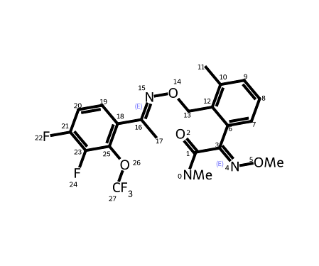 CNC(=O)/C(=N/OC)c1cccc(C)c1CO/N=C(\C)c1ccc(F)c(F)c1OC(F)(F)F